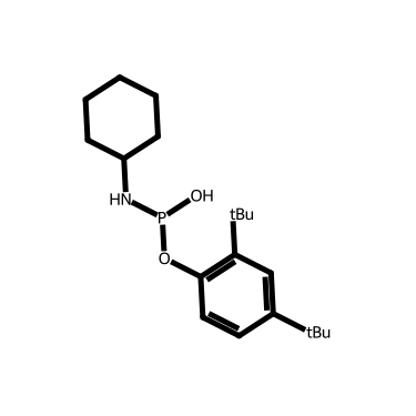 CC(C)(C)c1ccc(OP(O)NC2CCCCC2)c(C(C)(C)C)c1